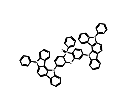 O=P1(c2ccccc2)c2ccc(-n3c4ccccc4c4ccc5c(c6ccccc6n5-c5ccccc5)c43)cc2OC2C=C(n3c4ccccc4c4ccc5c(c6ccccc6n5-c5ccccc5)c43)C=CC21